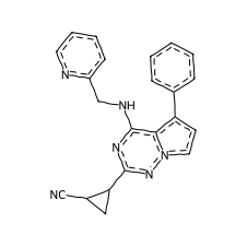 N#CC1CC1c1nc(NCc2ccccn2)c2c(-c3ccccc3)ccn2n1